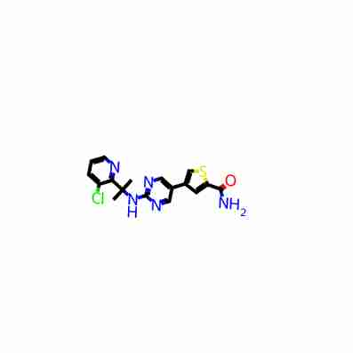 CC(C)(Nc1ncc(-c2csc(C(N)=O)c2)cn1)c1ncccc1Cl